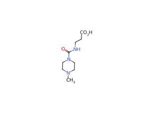 CN1CCN(C(=O)NCCC(=O)O)CC1